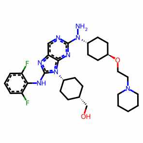 NN(c1ncc2nc(Nc3c(F)cccc3F)n([C@H]3CC[C@@H](CO)CC3)c2n1)[C@H]1CC[C@H](OCCN2CCCCC2)CC1